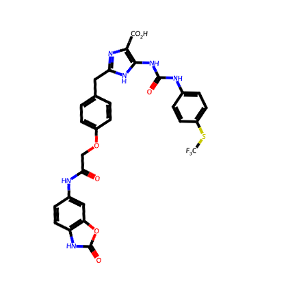 O=C(COc1ccc(Cc2nc(C(=O)O)c(NC(=O)Nc3ccc(SC(F)(F)F)cc3)[nH]2)cc1)Nc1ccc2[nH]c(=O)oc2c1